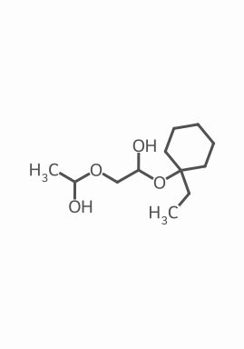 CCC1(OC(O)COC(C)O)CCCCC1